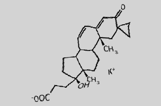 C[C@]12CC3(CC3)C(=O)C=C1C=CC1C2CC[C@@]2(C)C1CC[C@@]2(O)CCC(=O)[O-].[K+]